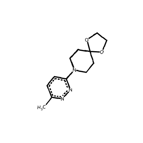 Cc1ccc(N2CCC3(CC2)OCCO3)nn1